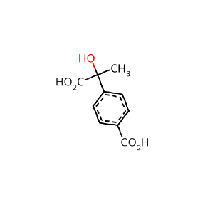 CC(O)(C(=O)O)c1ccc(C(=O)O)cc1